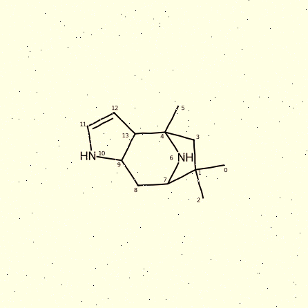 CC1(C)CC2(C)NC1CC1NC=CC12